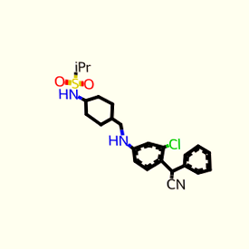 CC(C)S(=O)(=O)NC1CCC(CNc2ccc(C(C#N)c3ccccc3)c(Cl)c2)CC1